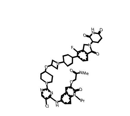 CNC(=O)COc1cc2cc(Nc3nc(N4CCC(OC5CN(C6CCC(c7ccc8c(c7F)CN(C7CCC(=O)NC7=O)C8=O)CC6)C5)CC4)ncc3Cl)ccc2n(C(C)C)c1=O